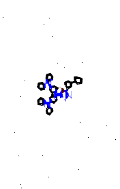 c1ccc(-c2ccc3sc4c(-n5c6ccc(N(c7ccccc7)c7ccccc7)cc6c6cc(N(c7ccccc7)c7ccccc7)ccc65)ncnc4c3c2)cc1